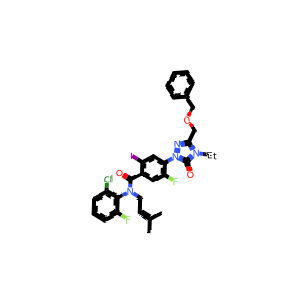 CCn1c(COCc2ccccc2)nn(-c2cc(I)c(C(=O)N(CC=C(C)C)c3c(F)cccc3Cl)cc2F)c1=O